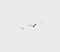 CCC[CH2][Ti][O]CC